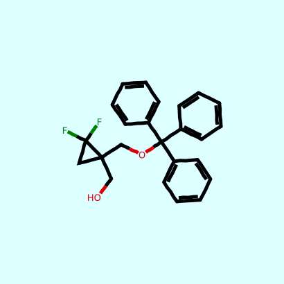 OCC1(COC(c2ccccc2)(c2ccccc2)c2ccccc2)CC1(F)F